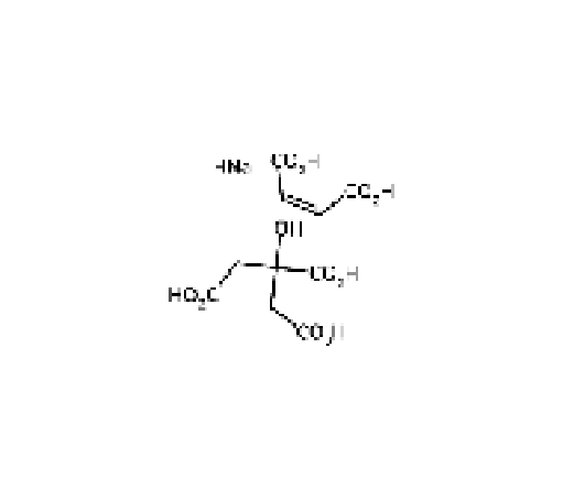 O=C(O)/C=C\C(=O)O.O=C(O)CC(O)(CC(=O)O)C(=O)O.[NaH]